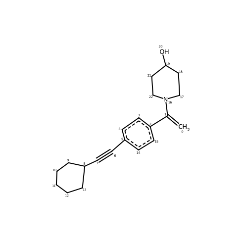 C=C(c1ccc(C#CC2CCCCC2)cc1)N1CCC(O)CC1